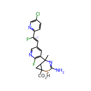 CC1(c2cc(/C=C(\F)c3ccc(Cl)cn3)cnc2F)N=C(N)SC2(C(=O)O)CC21